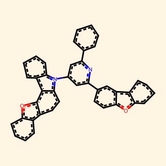 c1ccc(-c2cc(-n3c4ccccc4c4c5oc6ccccc6c5ccc43)cc(-c3ccc4oc5ccccc5c4c3)n2)cc1